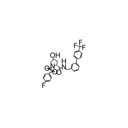 O=C(NCc1cccc(-c2ccc(C(F)(F)F)cc2)c1)[C@@H]1C[C@H](O)CN1S(=O)(=O)c1ccc(F)cc1